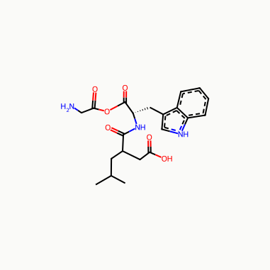 CC(C)CC(CC(=O)O)C(=O)N[C@@H](Cc1c[nH]c2ccccc12)C(=O)OC(=O)CN